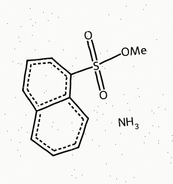 COS(=O)(=O)c1cccc2ccccc12.N